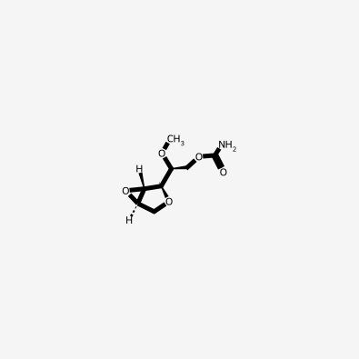 CO[C@@H](COC(N)=O)[C@H]1OC[C@H]2O[C@H]12